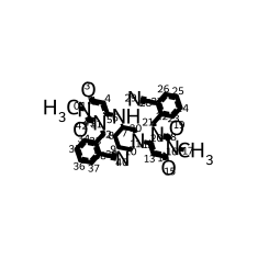 Cn1c(=O)cc(N[C@@H]2CCCN(c3cc(=O)n(C)c(=O)n3Cc3ccccc3C#N)C2)n(Cc2ccccc2C#N)c1=O